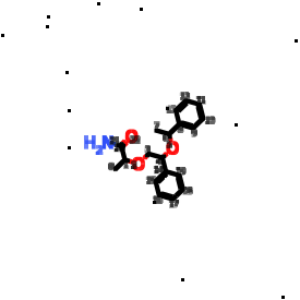 CC(OCC(OC(C)c1ccccc1)c1ccccc1)C(N)=O